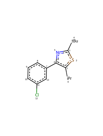 CC(C)c1sc(C(C)(C)C)nc1-c1cccc(Cl)c1